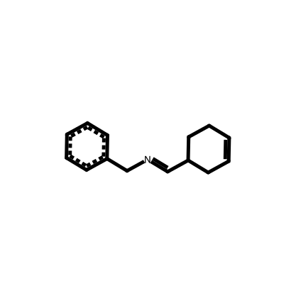 C1=CCC(/C=N/Cc2ccccc2)CC1